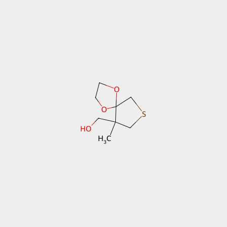 CC1(CO)CSCC12OCCO2